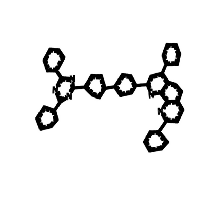 c1ccc(-c2ccc3ccc4c(-c5ccccc5)cc(-c5ccc(-c6ccc(-c7nc(-c8ccccc8)nc(-c8ccccc8)n7)cc6)cc5)nc4c3n2)cc1